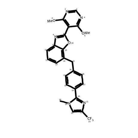 COc1ncnc(OC)c1-c1nc2cccc(Cc3ccc(-c4nc(C(F)(F)F)cn4C)cc3)c2o1